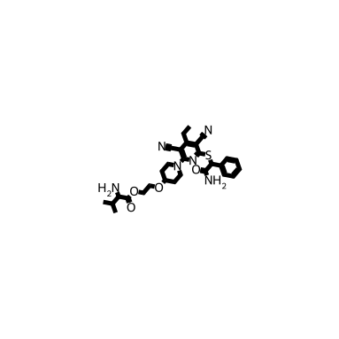 CCc1c(C#N)c(SC(C(N)=O)c2ccccc2)nc(N2CCC(OCCOC(=O)C(N)C(C)C)CC2)c1C#N